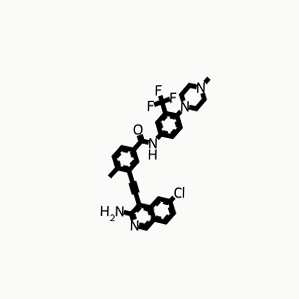 Cc1ccc(C(=O)Nc2ccc(N3CCN(C)CC3)c(C(F)(F)F)c2)cc1C#Cc1c(N)ncc2ccc(Cl)cc12